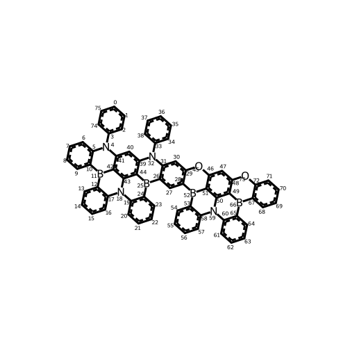 c1ccc(N2c3ccccc3B3c4ccccc4N4c5ccccc5B5c6cc7c(cc6N(c6ccccc6)c6cc2c3c4c65)Oc2cc3c4c5c2B7c2ccccc2N5c2ccccc2B4c2ccccc2O3)cc1